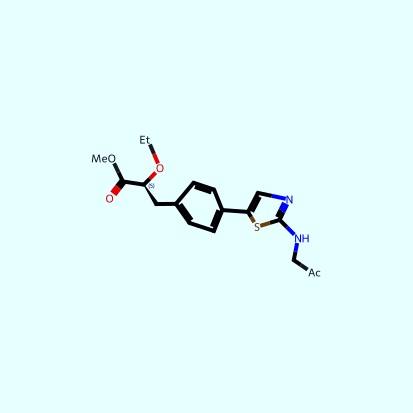 CCO[C@@H](Cc1ccc(-c2cnc(NCC(C)=O)s2)cc1)C(=O)OC